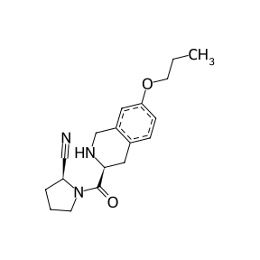 CCCOc1ccc2c(c1)CN[C@H](C(=O)N1CCC[C@H]1C#N)C2